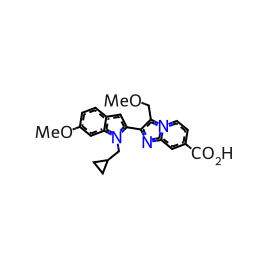 COCc1c(-c2cc3ccc(OC)cc3n2CC2CC2)nc2cc(C(=O)O)ccn12